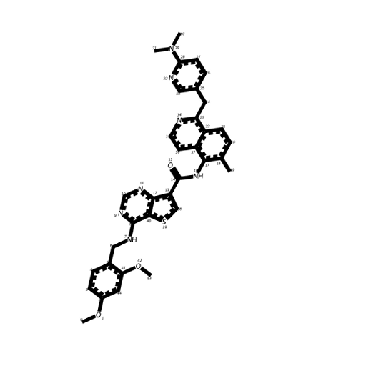 COc1ccc(CNc2ncnc3c(C(=O)Nc4c(C)ccc5c(Cc6ccc(N(C)C)nc6)nccc45)csc23)c(OC)c1